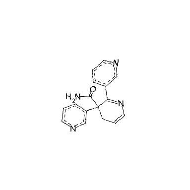 NC(=O)C1(c2cccnc2)CC=CN=C1c1cccnc1